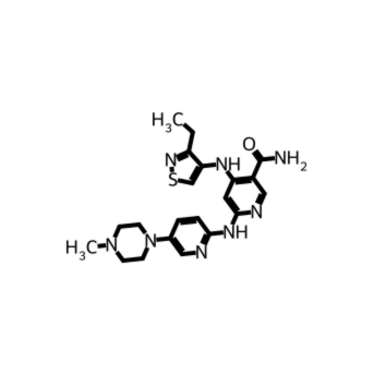 CCc1nscc1Nc1cc(Nc2ccc(N3CCN(C)CC3)cn2)ncc1C(N)=O